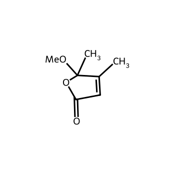 COC1(C)OC(=O)C=C1C